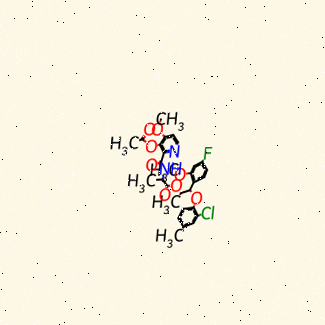 COc1cc(F)ccc1[C@@H](Oc1ccc(C)cc1Cl)[C@H](C)OC(=O)C(C)NC(=O)c1nccc(OC)c1OC(C)=O